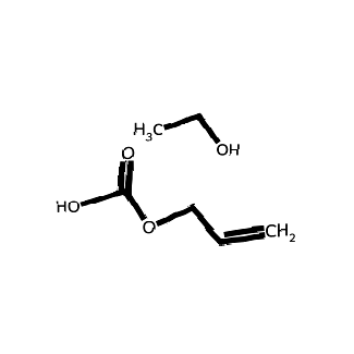 C=CCOC(=O)O.CCO